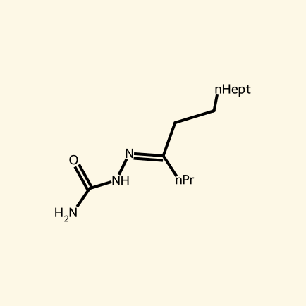 CCCCCCCCC/C(CCC)=N/NC(N)=O